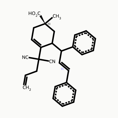 C=CCC(C#N)(C#N)C1=CC[C@@](C)(C(=O)O)CC1C(/C=C/c1ccccc1)c1ccccc1